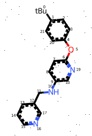 CC(C)(C)c1ccc(Oc2ccc(NCc3cccnc3)cn2)cc1